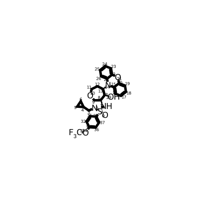 O=S(=NCC1CC1)(N[C@H]1COCC[C@@H](N2c3ccccc3Oc3ccccc32)[C@H]1O)c1ccc(OC(F)(F)F)cc1